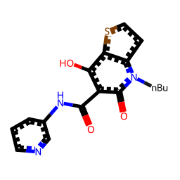 CCCCn1c(=O)c(C(=O)Nc2cccnc2)c(O)c2sccc21